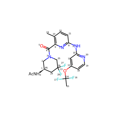 CC(=O)N[C@H]1CN(C(=O)c2nc(Nc3cc(OC(C)(F)F)ccn3)ccc2C)CC(F)(F)C1